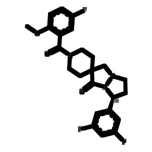 COc1ccc(F)cc1C(=O)N1CCC2(CC1)CN1CC[C@@H](c3cc(F)cc(F)c3)N1C2=O